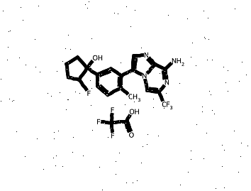 Cc1ccc(C2(O)CCCC2F)cc1-c1cnc2c(N)nc(C(F)(F)F)cn12.O=C(O)C(F)(F)F